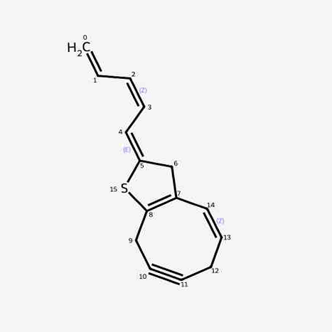 C=C/C=C\C=C1/CC2=C(CC#CC/C=C\2)S1